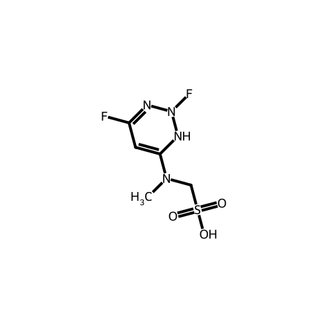 CN(CS(=O)(=O)O)C1=CC(F)=NN(F)N1